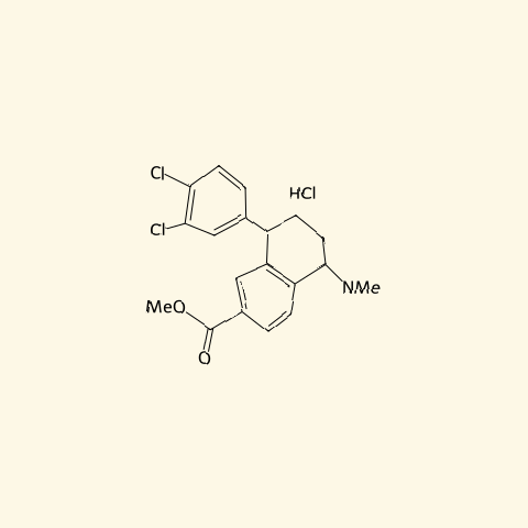 CNC1CCC(c2ccc(Cl)c(Cl)c2)c2cc(C(=O)OC)ccc21.Cl